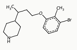 Cc1c(Br)cccc1OCCC(C)C1CCNCC1